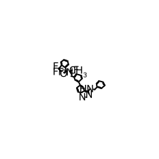 CN(Cc1cc(-c2ccc3ncnc(NCc4ccccc4)c3c2)ccc1F)C(=O)c1ccccc1C(F)(F)F